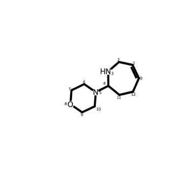 C1=CCNC(N2CCOCC2)CC1